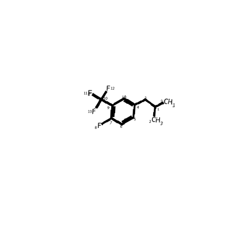 CC(C)Cc1ccc(F)c(C(F)(F)F)c1